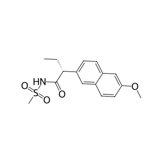 CC[C@@H](C(=O)NS(C)(=O)=O)c1ccc2cc(OC)ccc2c1